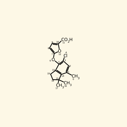 Cc1cc(Cl)c(Oc2ccc(C(=O)O)o2)c2c1C(C)(C)CC2